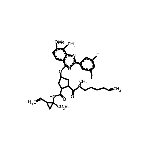 C=CCCCCN(C)C(=O)C1CC(Oc2nc(-c3cc(F)cc(F)c3)nc3c(C)c(OC)ccc23)CC1C(=O)NC1(C(=O)OCC)CC1C=C